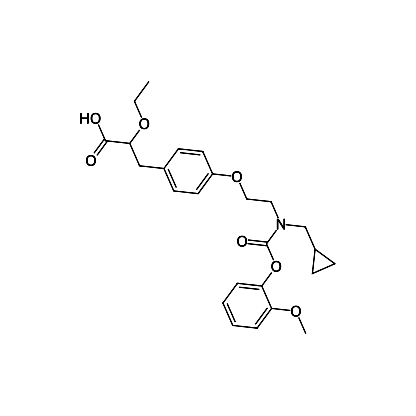 CCOC(Cc1ccc(OCCN(CC2CC2)C(=O)Oc2ccccc2OC)cc1)C(=O)O